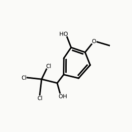 COc1ccc(C(O)C(Cl)(Cl)Cl)cc1O